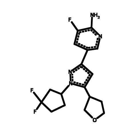 Nc1ncc(-c2cc(C3CCOC3)n(C3CCC(F)(F)C3)n2)cc1F